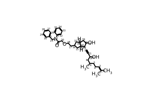 CC(C)=CCCC(C)CC(O)C#C[C@@H]1[C@@H]2CC(CCOCC(=O)N(Cc3ccccc3)c3ccccc3)C[C@@H]2C[C@H]1O